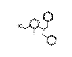 OCc1ccnc(N(Cc2ccccc2)Cc2ccccc2)c1F